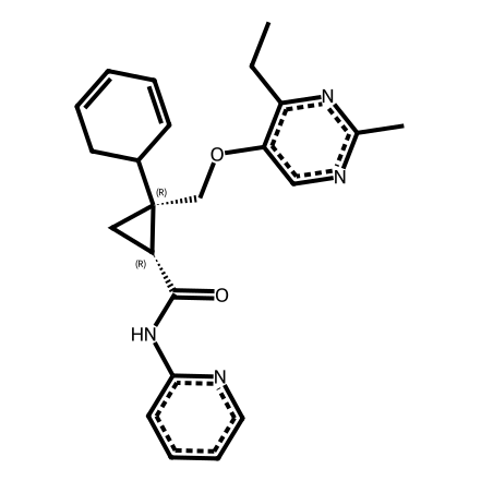 CCc1nc(C)ncc1OC[C@@]1(C2C=CC=CC2)C[C@H]1C(=O)Nc1ccccn1